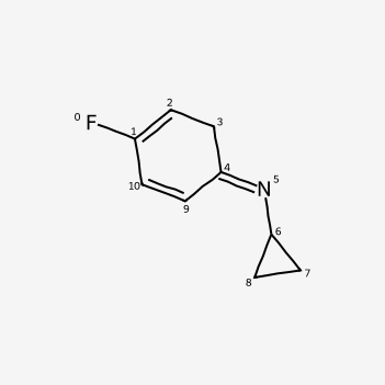 FC1=CCC(=NC2CC2)C=C1